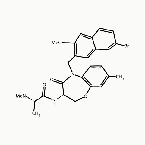 CN[C@@H](C)C(=O)N[C@H]1COc2cc(C)ccc2N(Cc2cc3cc(Br)ccc3cc2OC)C1=O